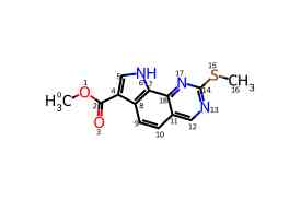 COC(=O)c1c[nH]c2c1ccc1cnc(SC)nc12